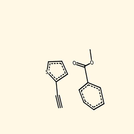 C#Cc1cccs1.COC(=O)c1ccccc1